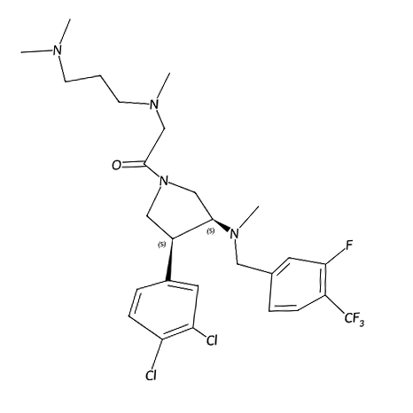 CN(C)CCCN(C)CC(=O)N1C[C@H](c2ccc(Cl)c(Cl)c2)[C@H](N(C)Cc2ccc(C(F)(F)F)c(F)c2)C1